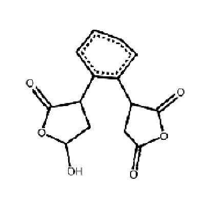 O=C1CC(c2ccccc2C2CC(O)OC2=O)C(=O)O1